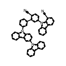 N#Cc1ccc(-n2c3ccccc3c3cccc(C#N)c32)cc1-c1cccc(-n2c3ccccc3c3cc(-n4c5ccccc5c5ccccc54)ccc32)c1